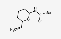 C=CC1CCCC(N[S+]([O-])C(C)(C)C)O1